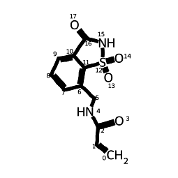 C=CC(=O)NCc1cccc2c1S(=O)(=O)NC2=O